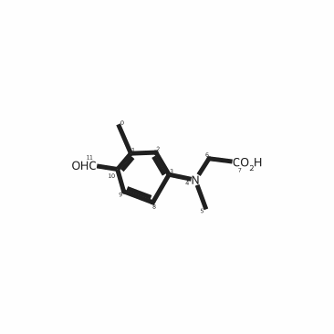 Cc1cc(N(C)CC(=O)O)ccc1C=O